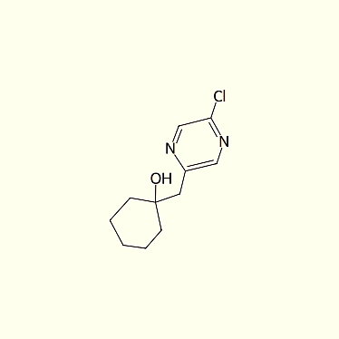 OC1(Cc2cnc(Cl)cn2)CCCCC1